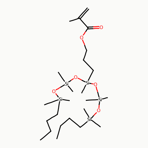 C=C(C)C(=O)OCCC[Si](C)(O[Si](C)(C)O[Si](C)(C)CCCC)O[Si](C)(C)O[Si](C)(C)CCCC